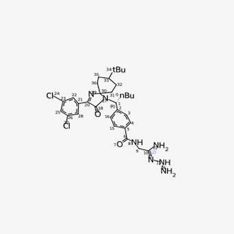 CCCC[C@H](c1ccc(C(=O)NC/C(N)=N/NN)cc1)N1C(=O)C(c2cc(Cl)cc(Cl)c2)=NC12CCC(C(C)(C)C)CC2